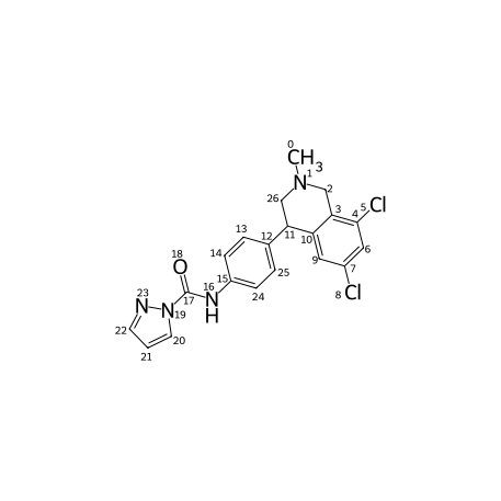 CN1Cc2c(Cl)cc(Cl)cc2C(c2ccc(NC(=O)n3cccn3)cc2)C1